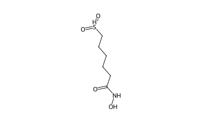 O=C(CCCCC[SH](=O)=O)NO